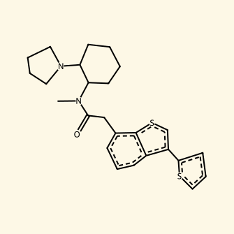 CN(C(=O)Cc1cccc2c(-c3cccs3)csc12)C1CCCCC1N1CCCC1